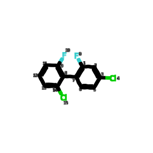 Fc1cc(Cl)ccc1-c1c(F)c[c]cc1Cl